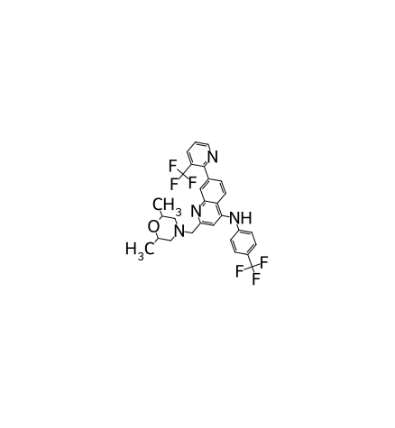 CC1CN(Cc2cc(Nc3ccc(C(F)(F)F)cc3)c3ccc(-c4ncccc4C(F)(F)F)cc3n2)CC(C)O1